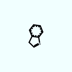 C1=Nc2ccccc2C1